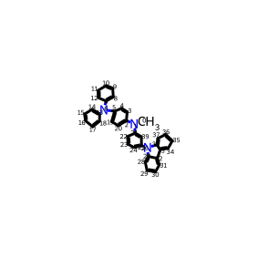 CN(c1ccc(N(c2ccccc2)c2ccccc2)cc1)c1cccc(-n2c3ccccc3c3ccccc32)c1